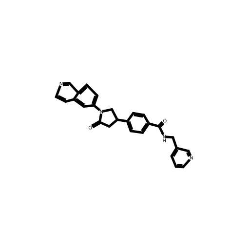 O=C(NCc1cccnc1)c1ccc(C2CC(=O)N(c3ccc4cnccc4c3)C2)cc1